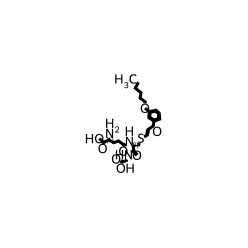 CCCCCCOc1cccc(C(=O)C=CSC[C@H](NC(=O)CC[C@H](N)C(=O)O)C(=O)NCC(=O)O)c1